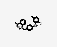 Cc1ccc(Cl)c(Nc2ccc(CN(C)c3ccccc3C(C)O)cc2)c1